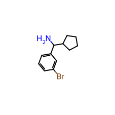 NC(c1cccc(Br)c1)C1CCCC1